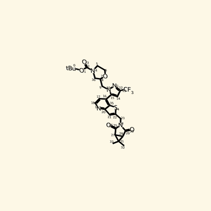 CC(C)(C)OC(=O)N1CCOC(Cn2nc(C(F)(F)F)cc2-c2ccnc3cc(CN4C(=O)C5C(C4=O)C5(C)C)sc23)C1